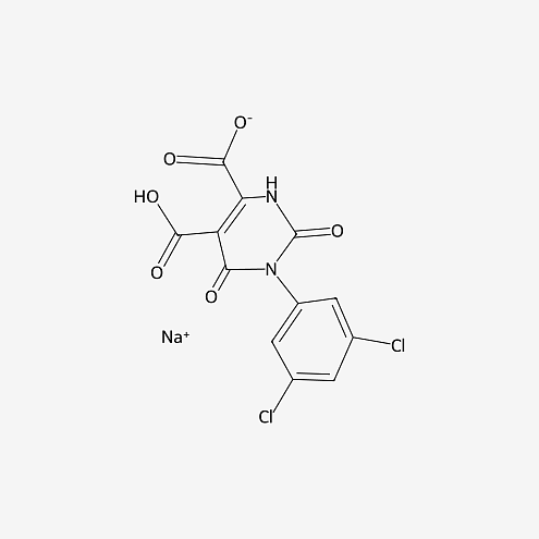 O=C([O-])c1[nH]c(=O)n(-c2cc(Cl)cc(Cl)c2)c(=O)c1C(=O)O.[Na+]